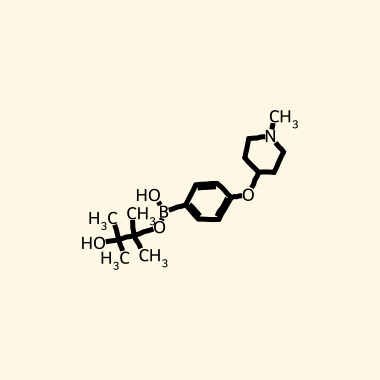 CN1CCC(Oc2ccc(B(O)OC(C)(C)C(C)(C)O)cc2)CC1